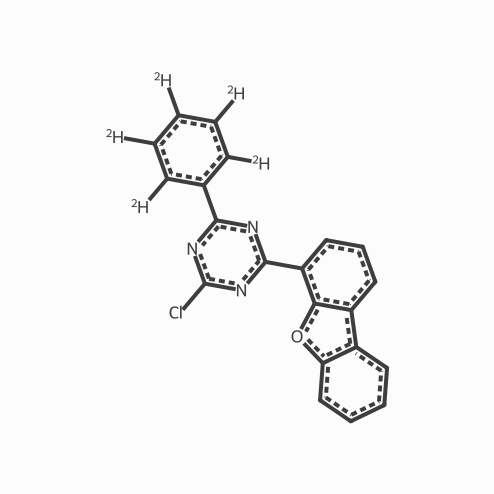 [2H]c1c([2H])c([2H])c(-c2nc(Cl)nc(-c3cccc4c3oc3ccccc34)n2)c([2H])c1[2H]